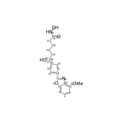 COc1cccc2oc(-c3ccc([C@H](O)CCCCC(=O)NO)cc3)nc12